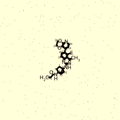 C=CC(=O)NC12CCC(Nc3nc(C)c4c(F)c(-c5ccnc6c5OCCO6)ccc4n3)(CC1)C2